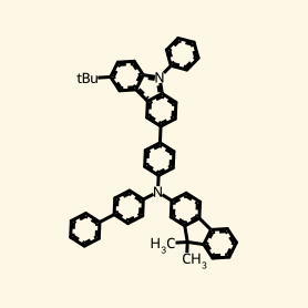 CC(C)(C)c1ccc2c(c1)c1cc(-c3ccc(N(c4ccc(-c5ccccc5)cc4)c4ccc5c(c4)C(C)(C)c4ccccc4-5)cc3)ccc1n2-c1ccccc1